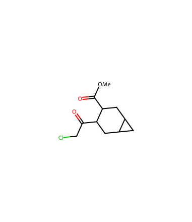 COC(=O)C1CC2CC2CC1C(=O)CCl